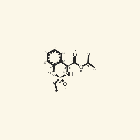 CCP1(=O)N[C@H](C(=O)OC(C)C)c2ccccc2O1